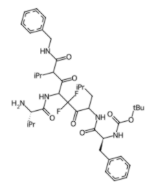 CC(C)CC(NC(=O)[C@H](Cc1ccccc1)NC(=O)OC(C)(C)C)C(=O)C(F)(F)C(NC(=O)[C@@H](N)C(C)C)C(=O)C(C(=O)NCc1ccccc1)C(C)C